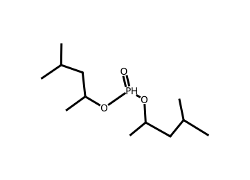 CC(C)CC(C)O[PH](=O)OC(C)CC(C)C